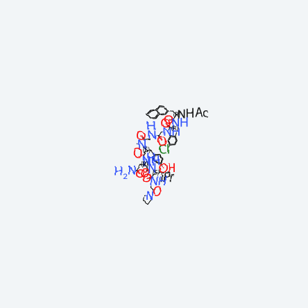 CC(=O)N[C@H](Cc1ccc2ccccc2c1)C(=O)N[C@H](Cc1ccc(Cl)cc1)C(=O)NCC(=O)NCC(=O)N(C)[C@@H](Cc1ccc(O)cc1)C(=O)N[C@H](CC(N)=O)C(=O)N[C@@H](CC(C)C)C(=O)NCC(=O)N1CCCC1